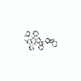 Cc1ccccc1-c1c(C)ccc2c1C(C)(c1ccccc1)c1ccc3c(c1C2(C)c1ccccc1)c1ccccc1n3-c1ccc2oc3ccccc3c2c1